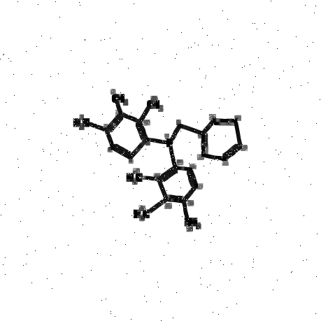 Cc1c(N)ccc(P(Cc2ccccc2)c2ccc(N)c(C)c2C)c1C